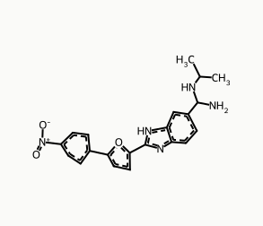 CC(C)NC(N)c1ccc2nc(-c3ccc(-c4ccc([N+](=O)[O-])cc4)o3)[nH]c2c1